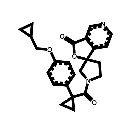 O=C1OC2(CCN(C(=O)C3(c4ccc(OCC5CC5)cc4)CC3)C2)c2ccncc21